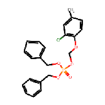 Cc1ccc(OCOP(=O)(OCc2ccccc2)OCc2ccccc2)c(Cl)c1